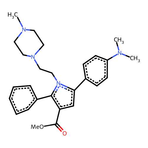 COC(=O)c1cc(-c2ccc(N(C)C)cc2)n(CCN2CCN(C)CC2)c1-c1ccccc1